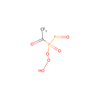 O=PP(=O)(OOO)C(=O)C(F)(F)F